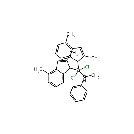 CC1=Cc2c(C)cccc2[CH]1[Zr]([Cl])([Cl])([CH]1C(C)=Cc2c(C)cccc21)[SiH](C)c1ccccc1